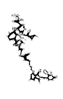 CNC(=O)c1nnc(NC(=O)C2CC2)cc1Nc1cccc(-c2ncn(CCNC(=O)CCOCCNc3cccc4c3C(=O)N(C3CCC(=O)NC3=O)C4=O)n2)c1OC